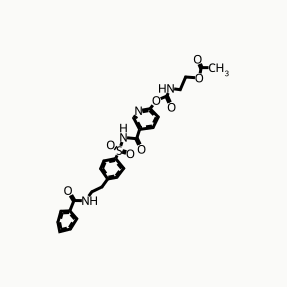 CC(=O)OCCNC(=O)Oc1ccc(C(=O)NS(=O)(=O)c2ccc(CCNC(=O)c3ccccc3)cc2)cn1